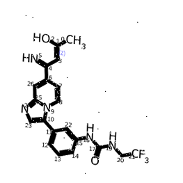 C/C(O)=C/C(=N)c1ccn2c(-c3cccc(NC(=O)NCC(F)(F)F)c3)cnc2c1